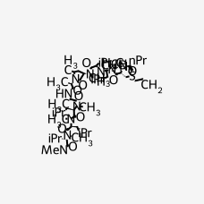 C=CCSC[C@H](C(=O)N(C)[C@](C=O)(CC(C)C)NC(C(=O)N(C)[C@H]1CC(C)N([C@H](C)C(=O)N[C@@H](C)C(=O)N(C)[C@H](CC(C)C)C(=O)N(C)[C@@H](CC(C)C)C(=O)N(C)[C@H](C(=O)NC)C(C)C)C1=O)C(C)C)N(C)C(=O)CCC